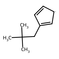 CC(C)(C)CC1=C[CH]C=C1